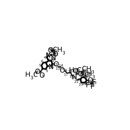 COC(=O)c1ccc2c(c1)nc(OCCOCCCCN(Cc1ccc(OC(F)(F)F)c(Cl)c1)C(=O)OC(C)(C)C)c1nc(S(C)(=O)=O)ncc12